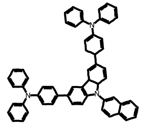 C1=CC2C(C=C1C1C=CC(N(c3ccccc3)c3ccccc3)=CC1)c1cc(-c3ccc(N(c4ccccc4)c4ccccc4)cc3)ccc1N2c1ccc2ccccc2c1